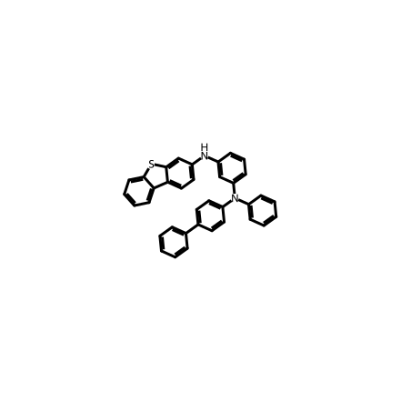 c1ccc(-c2ccc(N(c3ccccc3)c3cccc(Nc4ccc5c(c4)sc4ccccc45)c3)cc2)cc1